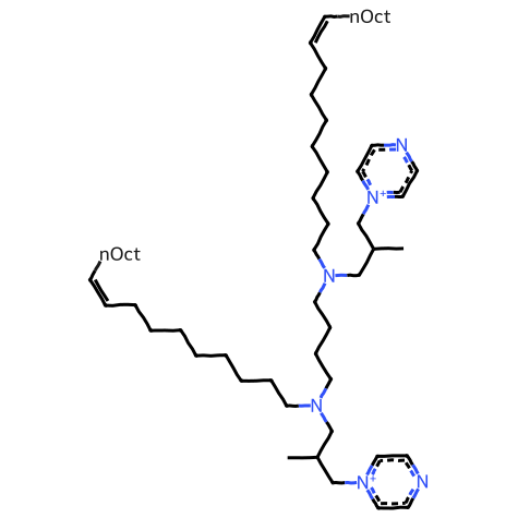 CCCCCCCC/C=C\CCCCCCCCN(CCCCN(CCCCCCCC/C=C\CCCCCCCC)CC(C)C[n+]1ccncc1)CC(C)C[n+]1ccncc1